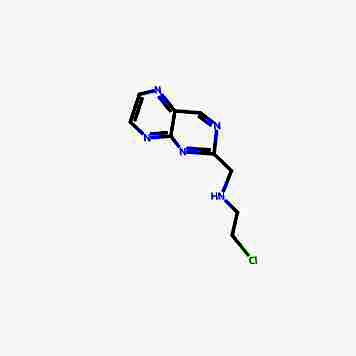 ClCCNCc1ncc2nccnc2n1